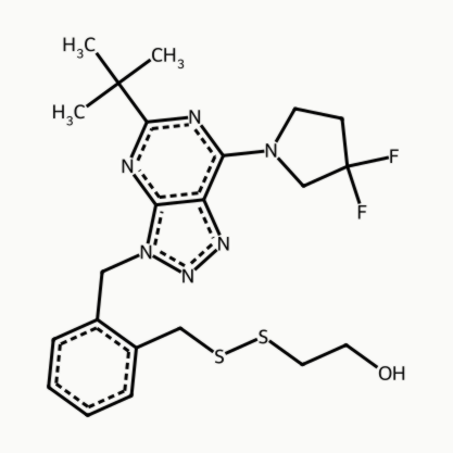 CC(C)(C)c1nc(N2CCC(F)(F)C2)c2nnn(Cc3ccccc3CSSCCO)c2n1